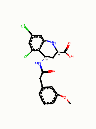 COc1cccc(CC(=O)N[C@H]2C[C@H](C(=O)O)Nc3cc(Cl)cc(Cl)c32)c1